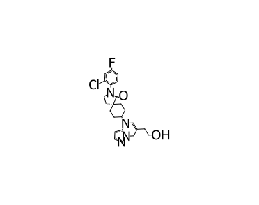 O=C1N(c2ccc(F)cc2Cl)CC[C@]12CC[C@@H](N1C=C(CCO)Cn3nccc31)CC2